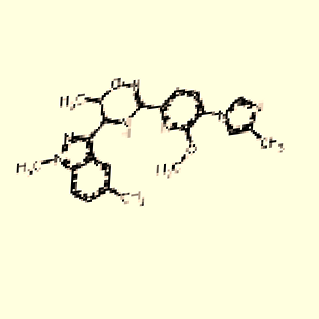 COc1nc(C2=NOC(C)C(c3nn(C)c4ccc(C)cc34)N2)ccc1-n1cnc(C)c1